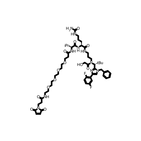 CC(C)[C@H](NC(=O)CCOCCOCCOCCOCCNC(=O)CCN1C(=O)C=CC1=O)C(=O)N[C@@H](CCCNC(N)=O)C(=O)NCCCN(C(=O)CO)[C@@H](c1nc(-c2cc(F)ccc2F)cn1Cc1ccccc1)C(C)(C)C